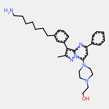 Cc1nn2c(N3CCN(CCO)CC3)cc(-c3ccccc3)nc2c1-c1cccc(CCCCCCCN)c1